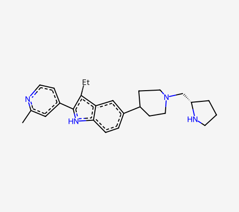 CCc1c(-c2ccnc(C)c2)[nH]c2ccc(C3CCN(C[C@@H]4CCCN4)CC3)cc12